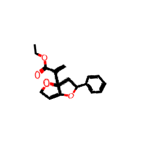 C=C(C(=O)OCC)C12CC(c3ccccc3)OC1=CCO2